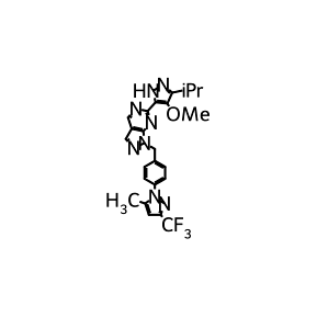 COc1c(C(C)C)n[nH]c1-c1ncc2cnn(Cc3ccc(-n4nc(C(F)(F)F)cc4C)cc3)c2n1